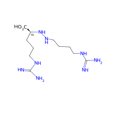 N=C(N)NCCCCNN[C@@H](CCCNC(=N)N)C(=O)O